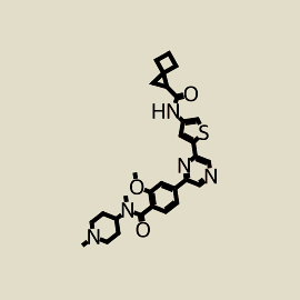 COc1cc(-c2cncc(-c3cc(NC(=O)C4CC45CCC5)cs3)n2)ccc1C(=O)N(C)C1CCN(C)CC1